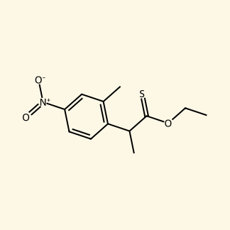 CCOC(=S)C(C)c1ccc([N+](=O)[O-])cc1C